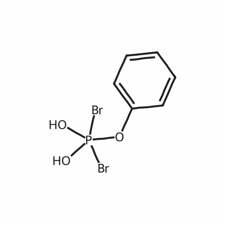 OP(O)(Br)(Br)Oc1ccccc1